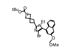 CCn1c(C2CC3(C2)CN(C(=O)OC(C)(C)C)C3)nc(Br)c1-c1cc(OCOC)cc2ccccc12